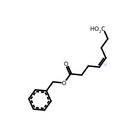 O=C(O)CC/C=C\CCC(=O)OCc1ccccc1